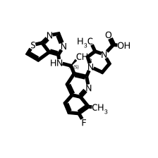 Cc1c(F)ccc2cc([C@H](C)Nc3ncnc4sccc34)c(N3CCN(C(=O)O)C(C)C3)nc12